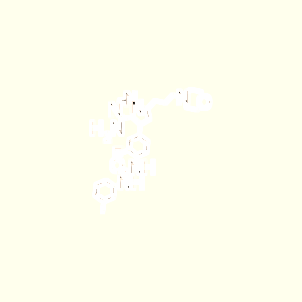 Cc1cccc(NC(=O)Nc2ccc(C3C=C(CCCN4CCOCC4)N4N=CN=C(N)C34)cc2F)c1